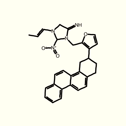 CC=CN1CC(=N)N(Cc2occc2C2CCc3ccc4c(ccc5ccccc54)c3C2)C1[N+](=O)[O-]